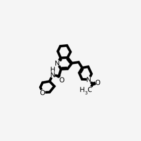 CC(=O)N1CC=C(Cc2cc(C(=O)NC3CCOCC3)nc3c2CCCC3)CC1